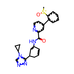 C[S+]([O-])c1ccccc1-c1ccnc(C(=O)NC2=CC(c3nncn3C3CC3)CC=C2)c1